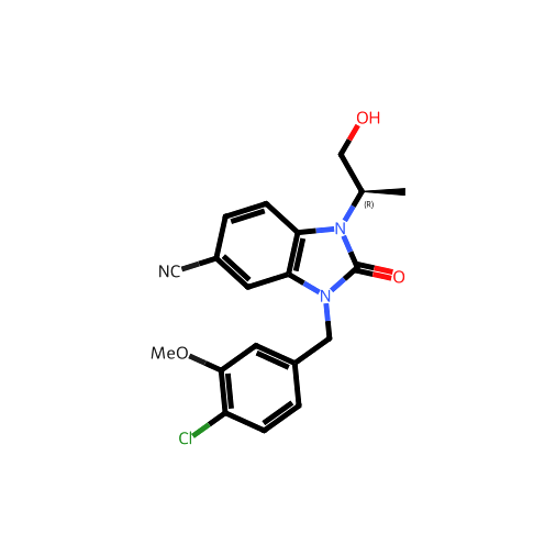 COc1cc(Cn2c(=O)n([C@H](C)CO)c3ccc(C#N)cc32)ccc1Cl